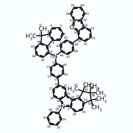 CC1(C)c2ccccc2-c2c(N(c3ccc(-c4ccc5c(c4)c4c6c(ccc4n5-c4ccccc4)C(C)(C)C(C)(C)C6(C)C)cc3)c3ccc(-c4cccc5c4oc4ccccc45)cc3)cccc21